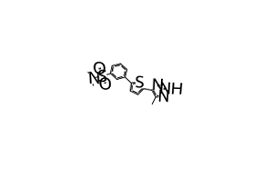 Cc1n[nH]nc1-c1ccc(-c2cccc(S(=O)(=O)N(C)C)c2)s1